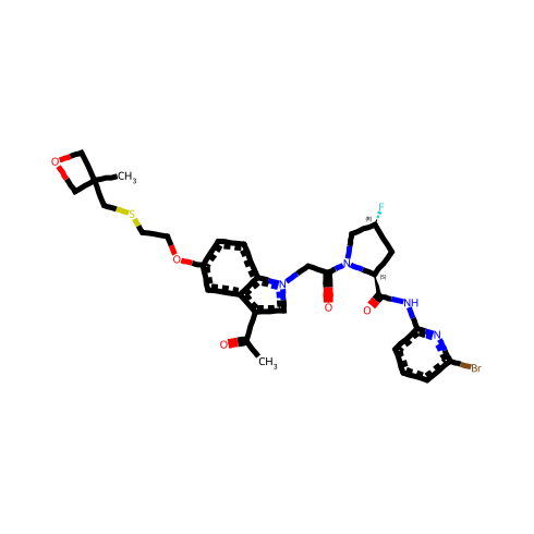 CC(=O)c1cn(CC(=O)N2C[C@H](F)C[C@H]2C(=O)Nc2cccc(Br)n2)c2ccc(OCCSCC3(C)COC3)cc12